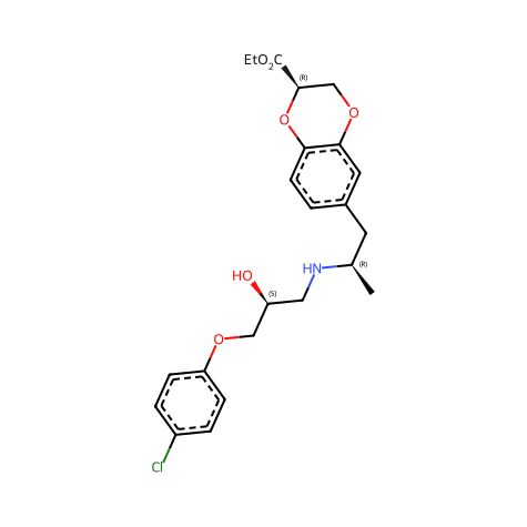 CCOC(=O)[C@H]1COc2cc(C[C@@H](C)NC[C@H](O)COc3ccc(Cl)cc3)ccc2O1